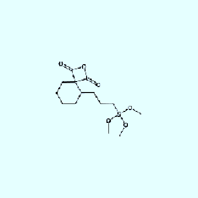 CO[Si](CCCC1CCCCC12C(=O)OC2=O)(OC)OC